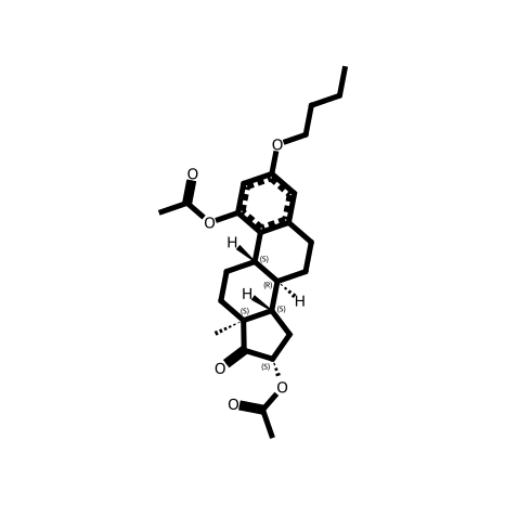 CCCCOc1cc2c(c(OC(C)=O)c1)[C@H]1CC[C@]3(C)C(=O)[C@@H](OC(C)=O)C[C@H]3[C@@H]1CC2